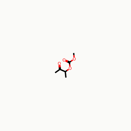 COC(=O)OC(C)C(C)=O